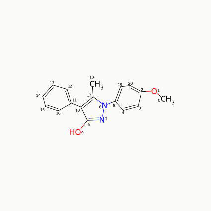 COc1ccc(-n2nc(O)c(-c3ccccc3)c2C)cc1